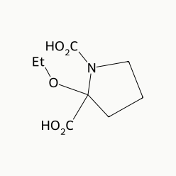 CCOC1(C(=O)O)CCCN1C(=O)O